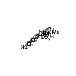 CNC(=O)[C@@H](NC(=O)C[C@H](C(=O)O)c1ccn(-c2ccc(-c3ccc(C#N)cc3)cc2)c1)C(C)(C)C